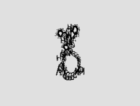 O=C1CCCCCCC(=O)N[C@H](Cc2ccc(NC(=O)[C@H](Cc3ccccc3Cl)NC(=O)Cc3ccccc3)cc2)C(=O)NCC(=O)NCCCCCN1